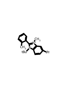 Cc1ccccc1-c1n(C(C)(C)C)c2ccc(C(C)C)cc2[n+]1C